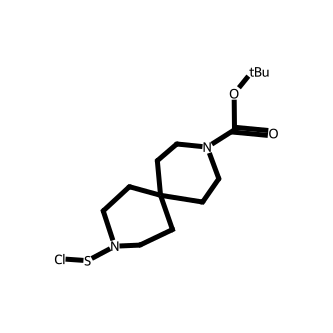 CC(C)(C)OC(=O)N1CCC2(CCN(SCl)CC2)CC1